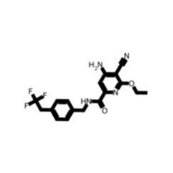 CCOc1nc(C(=O)NCc2ccc(CC(F)(F)F)cc2)cc(N)c1C#N